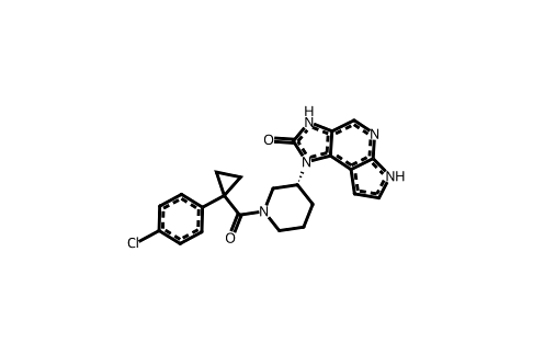 O=C(N1CCC[C@@H](n2c(=O)[nH]c3cnc4[nH]ccc4c32)C1)C1(c2ccc(Cl)cc2)CC1